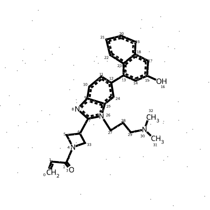 C=CC(=O)N1CC(c2nc3ccc(-c4cc(O)cc5ccccc45)cc3n2CCCN(C)C)C1